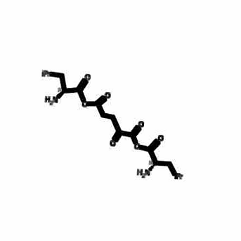 CC(C)C[C@H](N)C(=O)OC(=O)CCC(=O)C(=O)OC(=O)[C@@H](N)CC(C)C